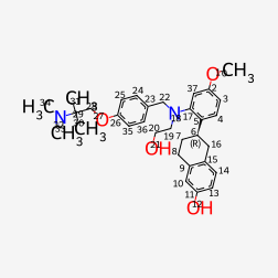 COc1ccc([C@@H]2CCc3cc(O)ccc3C2)c(N(CCO)Cc2ccc(OCC(C)(C)N(C)C)cc2)c1